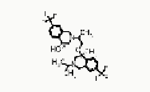 CC(C)N1Cc2cc(C(F)(F)F)ccc2[C@@](C)(OCC(C)N2Cc3cc(C(F)(F)F)ccc3[C@@H](O)C2)C1